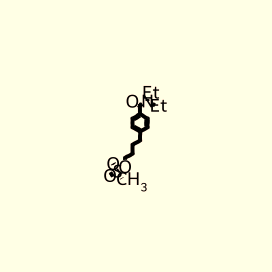 CCN(CC)C(=O)c1ccc(CCCCOS(C)(=O)=O)cc1